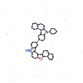 c1ccc(-n2c3ccc(-c4ccc5[nH]c6ccc7oc8c9ccccc9ccc8c7c6c5c4)cc3c3c4ccccc4ccc32)cc1